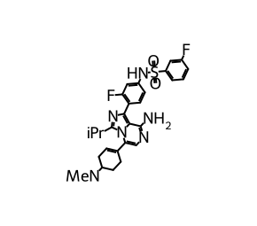 CNC1CC=C(c2cnc(N)c3c(-c4ccc(NS(=O)(=O)c5cccc(F)c5)cc4F)nc(C(C)C)n23)CC1